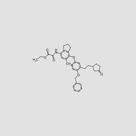 CCOC(=O)C(=O)Nc1cc(C)c(Oc2ccc(OCc3ccccc3)c(CCC3CCC(=O)C3)c2)c2c1CCC2